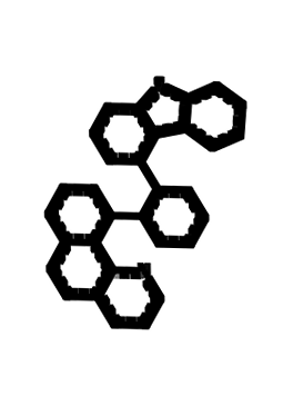 c1ccc(-c2cccc3ccc4cccnc4c23)c(-c2cccc3sc4ccccc4c23)c1